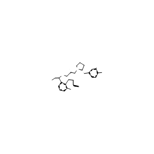 CCC(OC[C@H](O)CN1CCC[C@H]1Cc1ccc(C)c(Cl)c1)c1cccc(C)c1CCC(=O)O